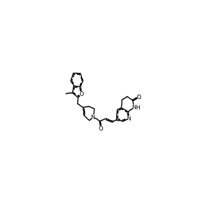 Cc1c(CC2=CCN(C(=O)C=Cc3cnc4c(c3)CCC(=O)N4)CC2)oc2ccccc12